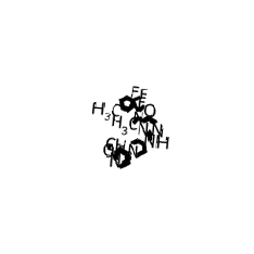 COc1cc(N2CCC(Nc3ncc4c(n3)N(C)C(c3cc(C)ccc3C(F)(F)F)CO4)CC2)ccn1